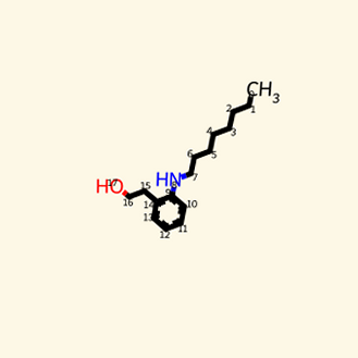 CCCCCCCCNc1ccccc1CCO